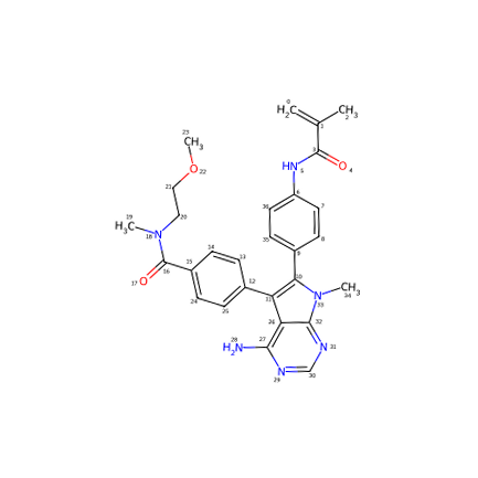 C=C(C)C(=O)Nc1ccc(-c2c(-c3ccc(C(=O)N(C)CCOC)cc3)c3c(N)ncnc3n2C)cc1